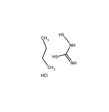 CCCC.Cl.N=C(S)NS